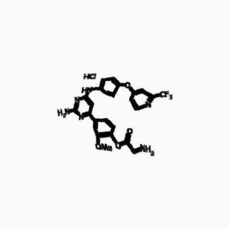 COc1cc(-c2cc(Nc3ccc(Oc4ccnc(C(F)(F)F)c4)cc3)nc(N)n2)ccc1OC(=O)CN.Cl